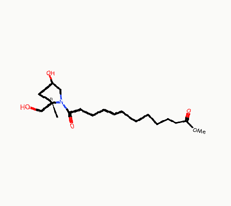 COC(=O)CCCCCCCCCCC(=O)N1CC(O)C[C@@]1(C)CO